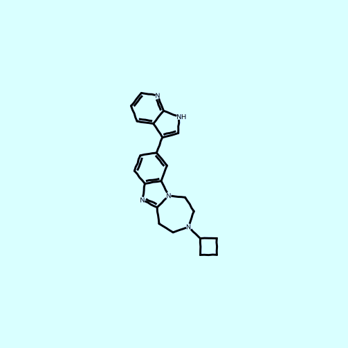 c1cnc2[nH]cc(-c3ccc4nc5n(c4c3)CCN(C3CCC3)CC5)c2c1